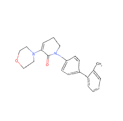 Cc1ccccc1-c1ccc(N2CCC=C(N3CCOCC3)C2=O)cc1